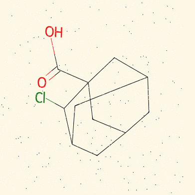 O=C(O)C12CC3CC(CC(C3)C1Cl)C2